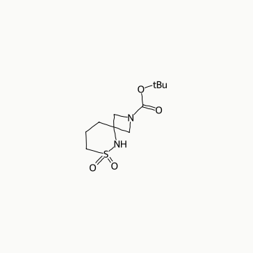 CC(C)(C)OC(=O)N1CC2(CCCS(=O)(=O)N2)C1